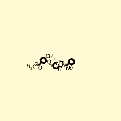 COC(=O)c1ccc(C)c(OC[C@H]2CC[C@H]3CN(c4noc5ccccc45)CCN3C2)c1